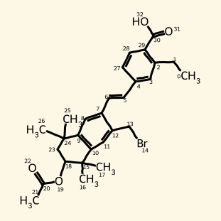 CCc1cc(C=Cc2cc3c(cc2CBr)C(C)(C)C(OC(C)=O)CC3(C)C)ccc1C(=O)O